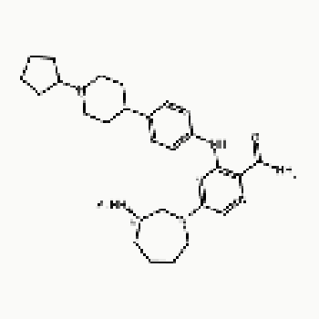 CC(=O)N[C@@H]1CCCCN(c2cnc(C(N)=O)c(Nc3ccc(C4CCN(C5CCCC5)CC4)cc3)n2)C1